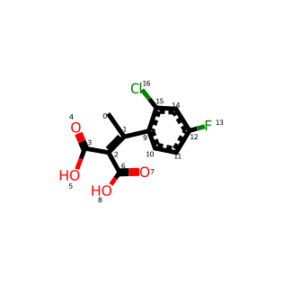 CC(=C(C(=O)O)C(=O)O)c1ccc(F)cc1Cl